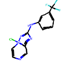 FC(F)(F)c1cccc(NC2=N[N+]3(Cl)C=CN=CC3=N2)c1